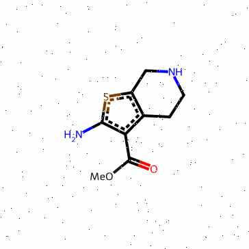 COC(=O)c1c(N)sc2c1CCNC2